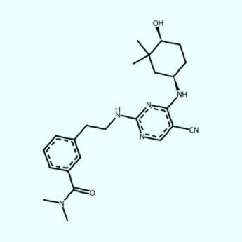 CN(C)C(=O)c1cccc(CCNc2ncc(C#N)c(N[C@@H]3CC[C@H](O)C(C)(C)C3)n2)c1